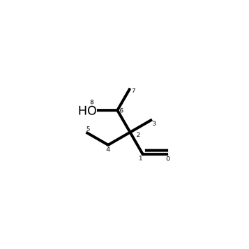 C=CC(C)(CC)C(C)O